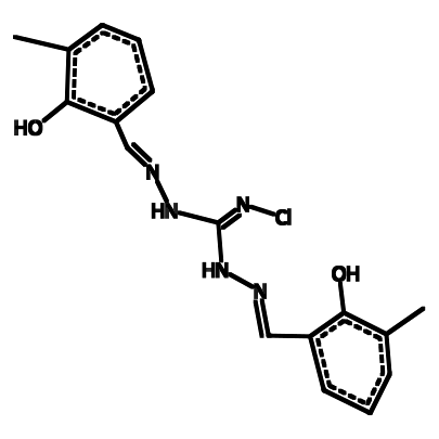 Cc1cccc(/C=N/NC(=NCl)N/N=C/c2cccc(C)c2O)c1O